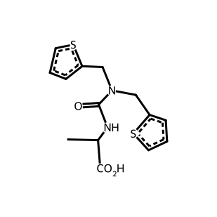 CC(NC(=O)N(Cc1cccs1)Cc1cccs1)C(=O)O